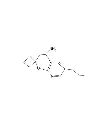 CCCc1cnc2c(c1)[C@@H](N)CC1(CCC1)O2